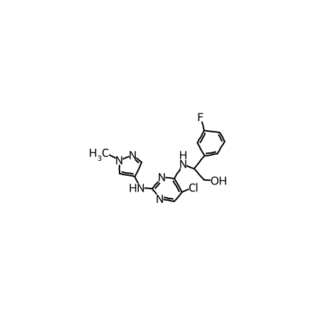 Cn1cc(Nc2ncc(Cl)c(NC(CO)c3cccc(F)c3)n2)cn1